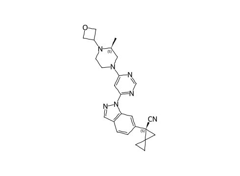 C[C@H]1CN(c2cc(-n3ncc4ccc([C@]5(C#N)CC56CC6)cc43)ncn2)CCN1C1COC1